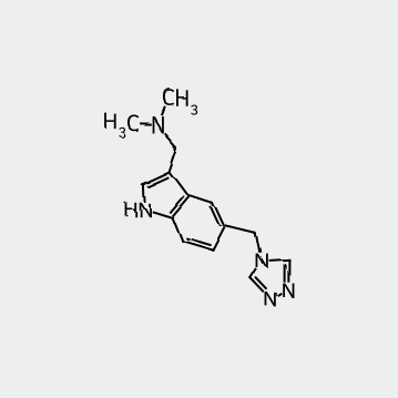 CN(C)Cc1c[nH]c2ccc(Cn3cnnc3)cc12